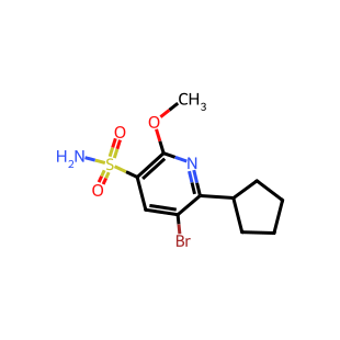 COc1nc(C2CCCC2)c(Br)cc1S(N)(=O)=O